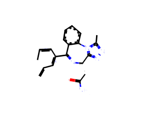 C=C/C=C(\C=C/C)C1=N[C@@H](CC(N)=O)c2nnc(C)n2-c2ccccc21